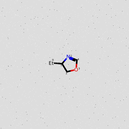 CCC1COC=N1